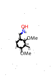 COc1ccc(C=NO)c(OC)c1C